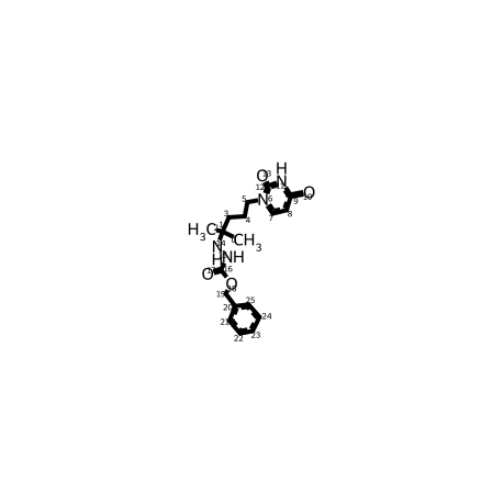 CC(C)(CCCn1ccc(=O)[nH]c1=O)NNC(=O)OCc1ccccc1